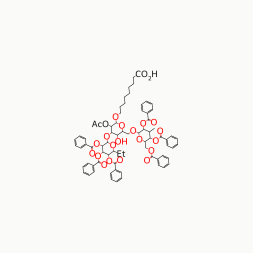 CCC1OC(OC2C(O)C(COC3OC(COC(=O)c4ccccc4)C(OC(=O)c4ccccc4)C(C)C3OC(=O)c3ccccc3)OC(OCCCCCCCCC(=O)O)C2OC(C)=O)C(OC(=O)c2ccccc2)C(OC(=O)c2ccccc2)C1OC(=O)c1ccccc1